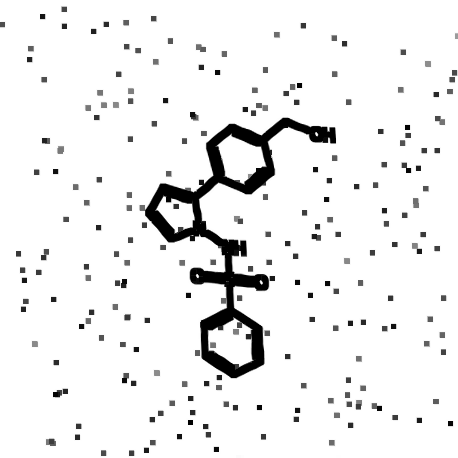 O=S(=O)(Nn1cccc1-c1ccc(CO)cc1)c1ccccc1